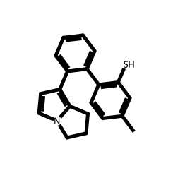 Cc1ccc(-c2ccccc2-c2ccn3c2CCC3)c(S)c1